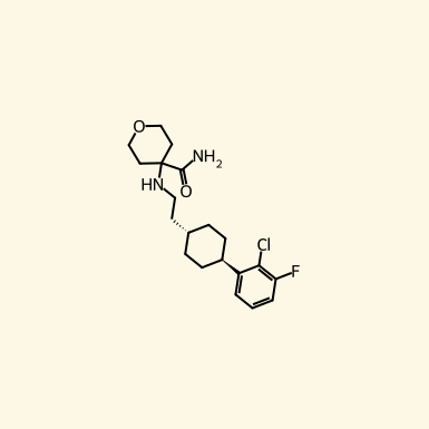 NC(=O)C1(NCC[C@H]2CC[C@H](c3cccc(F)c3Cl)CC2)CCOCC1